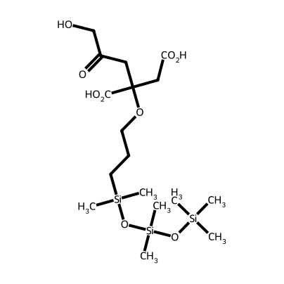 C[Si](C)(C)O[Si](C)(C)O[Si](C)(C)CCCOC(CC(=O)O)(CC(=O)CO)C(=O)O